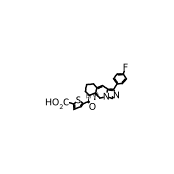 C[C@]12Cn3cnc(-c4ccc(F)cc4)c3C=C1CCC[C@@H]2C(=O)c1ccc(C(=O)O)s1